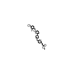 CCOC(=O)/C=C/c1ccc(CN2CCC(c3cccc(OCc4ccc(Cl)cc4F)n3)CC2)nc1